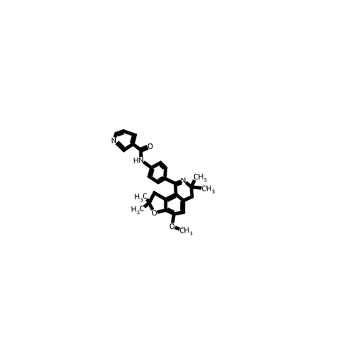 COc1cc2c(c3c1OC(C)(C)C3)C(c1ccc(NC(=O)c3cccnc3)cc1)=NC(C)(C)C2